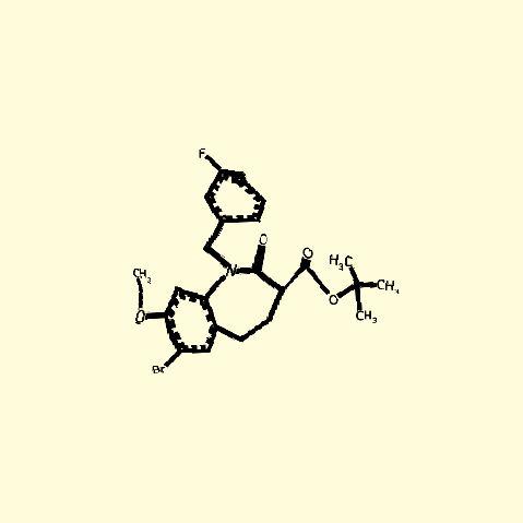 COc1cc2c(cc1Br)CC[C@H](C(=O)OC(C)(C)C)C(=O)N2Cc1cccc(F)c1